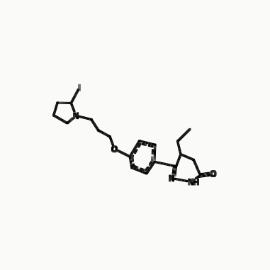 CCC1CC(=O)NN=C1c1ccc(OCCCN2CCCC2I)cc1